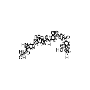 Cn1c(-c2cn(-c3cc4[nH]cc(C(=O)NCCO)c4cn3)nc2C(F)(F)F)cnc1C(=O)Nc1ccc(C(=O)N2CCN(C(=O)C3CC[N+](CC(=O)O)(CC4CNC4)CC3)CC2)c(Cl)c1